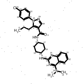 CCCc1c(C(=O)N[C@H]2CC[C@@H](Nc3nc(N(C)C)c4ccccc4n3)CC2)cnn1-c1ccc(Cl)cc1